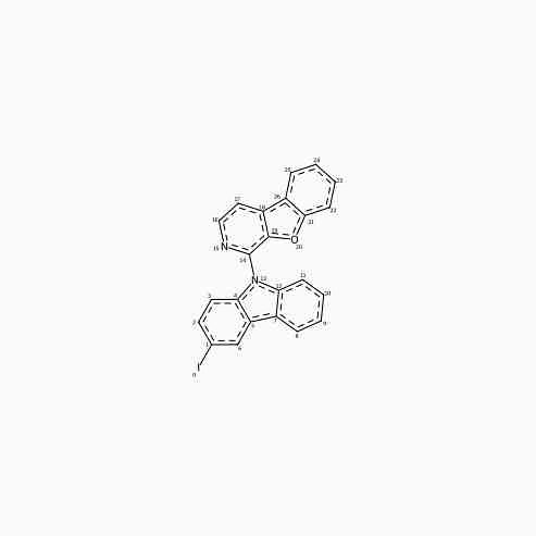 Ic1ccc2c(c1)c1ccccc1n2-c1nccc2c1oc1ccccc12